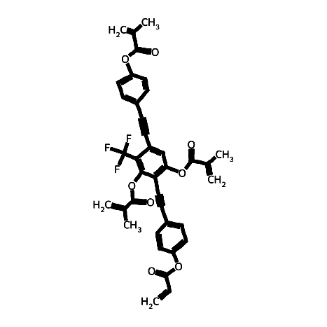 C=CC(=O)Oc1ccc(C#Cc2c(OC(=O)C(=C)C)cc(C#Cc3ccc(OC(=O)C(=C)C)cc3)c(C(F)(F)F)c2OC(=O)C(=C)C)cc1